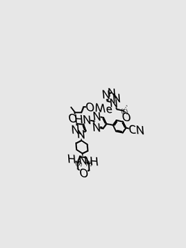 COCCC(C)Oc1nn([C@H]2CC[C@H](N3[C@@H]4CC[C@H]3COC4)CC2)cc1Nc1ncc(-c2ccc(C#N)c(O[C@@H](C)Cn3cnnn3)c2)cn1